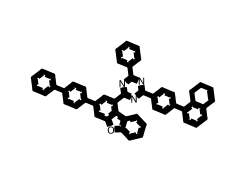 C1=Cc2cccc(-c3ccc(-c4nc(-c5ccccc5)nc(-c5cc(-c6ccc(-c7ccccc7)cc6)cc6oc7ccccc7c56)n4)cc3)c2CC1